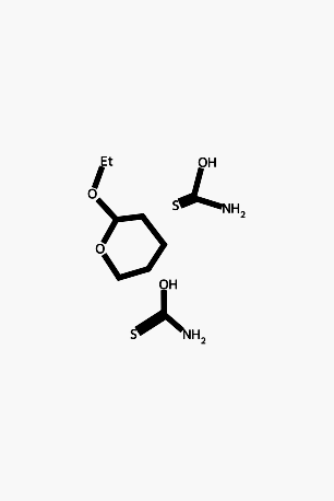 CCOC1CCCCO1.NC(O)=S.NC(O)=S